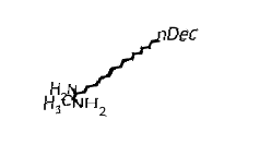 CCCCCCCCCCCCCCCCCCCCCCCCCC(N)C(C)N